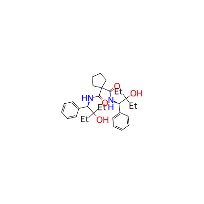 CCC(O)(CC)[C@H](NC(=O)C1(C(=O)N[C@H](c2ccccc2)C(O)(CC)CC)CCCC1)c1ccccc1